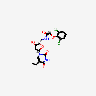 CCc1cn([C@@H]2CC(O)[C@H](CNC(=O)[C@H](C)Oc3c(Cl)cccc3Cl)O2)c(=O)[nH]c1=O